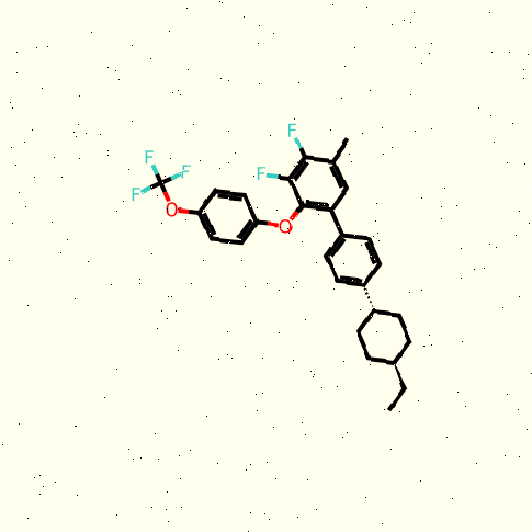 CC[C@H]1CC[C@H](c2ccc(-c3cc(C)c(F)c(F)c3Oc3ccc(OC(F)(F)F)cc3)cc2)CC1